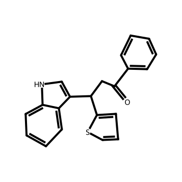 O=C(CC(c1cccs1)c1c[nH]c2ccccc12)c1ccccc1